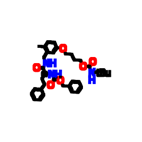 Cc1ccc(OCCCCOC(=O)NC(C)(C)C)cc1CNC(=O)[C@H](CCc1ccccc1)NC(=O)OCc1ccccc1